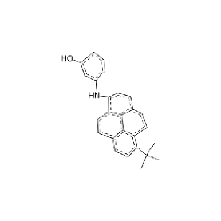 CC(C)(C)c1ccc2ccc3c(Nc4cccc(O)c4)ccc4ccc1c2c43